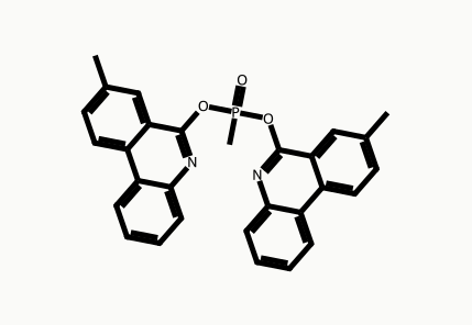 Cc1ccc2c(c1)c(OP(C)(=O)Oc1nc3ccccc3c3ccc(C)cc13)nc1ccccc12